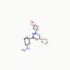 CNc1cccc(-c2cc(N3CCOCC3)nc(-c3cccc(CO)c3)n2)c1